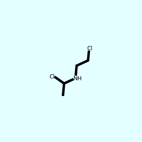 CC(Cl)NCCCl